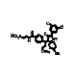 COCCC(C1C=CC(C(=O)NCCC(=O)O)=CC1)N1C(=O)C(c2cc(Cl)cc(Cl)c2)NC12CCC(C(C)(C)C)CC2